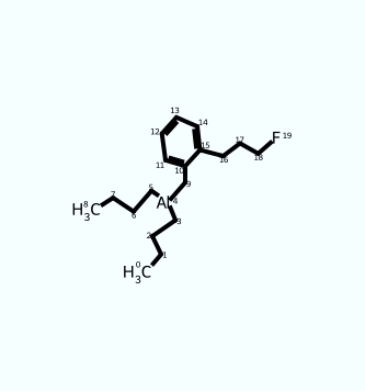 CCC[CH2][Al]([CH2]CCC)[CH2]c1ccccc1CCCF